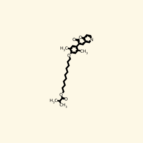 Cc1cc(-c2cc3cnccc3oc2=O)c(C)cc1OCCCCCCCCCCCOC(=O)C(C)C